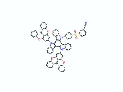 N#Cc1cccc(S(=O)(=O)c2ccc(-n3c4ccccc4c4c3c3c5ccccc5n(-c5cc6c7c(c5)Oc5ccccc5B7c5ccccc5O6)c3c3c5ccccc5n(-c5cc6c7c(c5)Oc5ccccc5B7c5ccccc5O6)c43)cc2)c1